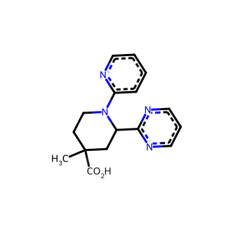 CC1(C(=O)O)CCN(c2ccccn2)C(c2ncccn2)C1